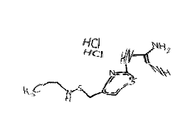 CCNSCc1csc(NC(=N)N)n1.Cl.Cl